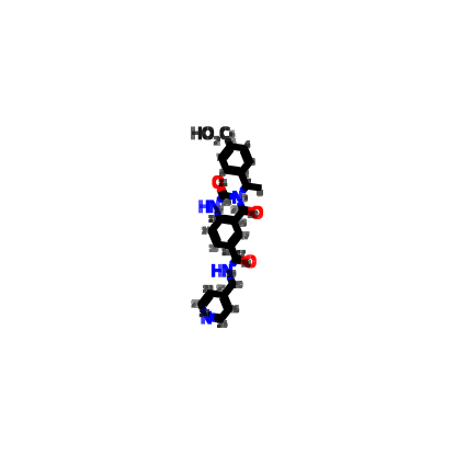 CC(c1ccc(C(=O)O)cc1)n1c(=O)[nH]c2ccc(C(=O)NCc3ccncc3)cc2c1=O